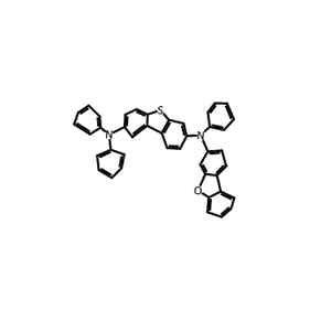 c1ccc(N(c2ccc3c(c2)oc2ccccc23)c2ccc3c(c2)sc2ccc(N(c4ccccc4)c4ccccc4)cc23)cc1